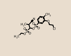 CCOS(=O)(=O)C(OS(=O)(=O)c1ccc(C)c(OCCCl)c1)C(C)C#N